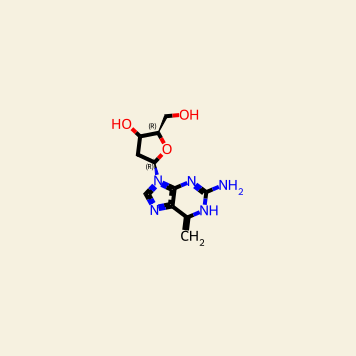 C=C1NC(N)=Nc2c1ncn2[C@H]1CC(O)[C@@H](CO)O1